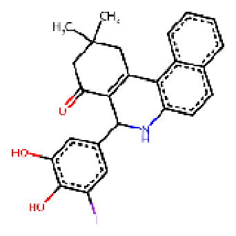 CC1(C)CC(=O)C2=C(C1)c1c(ccc3ccccc13)NC2c1cc(O)c(O)c(I)c1